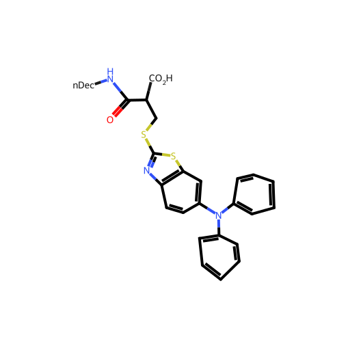 CCCCCCCCCCNC(=O)C(CSc1nc2ccc(N(c3ccccc3)c3ccccc3)cc2s1)C(=O)O